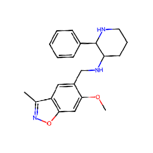 COc1cc2onc(C)c2cc1CNC1CCCNC1c1ccccc1